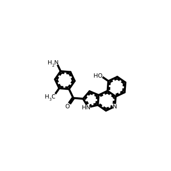 Cc1cc(N)ccc1C(=O)c1cc2c(cnc3cccc(O)c32)[nH]1